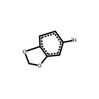 [2H]c1ccc2c(c1)OCO2